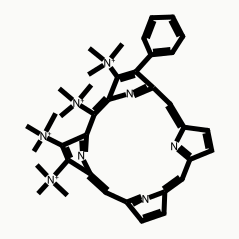 C[N+](C)(C)C1=C2N=C(C=C3C=CC(=N3)C=C3C=CC(=N3)C=C3N=C1C([N+](C)(C)C)=C3[N+](C)(C)C)C(c1ccccc1)=C2[N+](C)(C)C